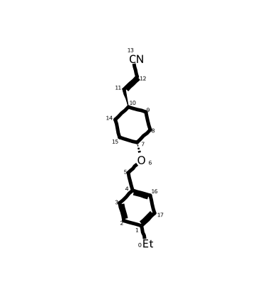 CCc1ccc(CO[C@H]2CC[C@H](/C=C/C#N)CC2)cc1